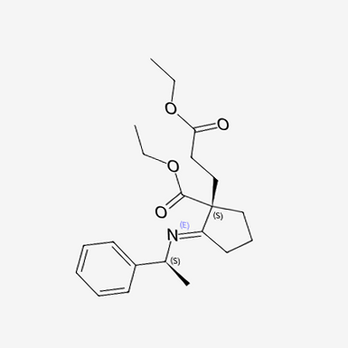 CCOC(=O)CC[C@@]1(C(=O)OCC)CCC/C1=N\[C@@H](C)c1ccccc1